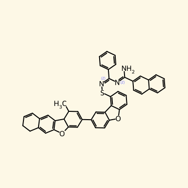 CC1C=C(c2ccc3oc4cccc(S/N=C(\N=C(/N)c5ccc6ccccc6c5)c5ccccc5)c4c3c2)C=C2Oc3cc4c(cc3C21)C=CCC4